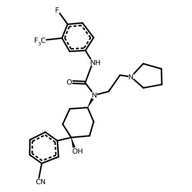 N#Cc1cccc([C@]2(O)CC[C@@H](N(CCN3CCCC3)C(=O)Nc3ccc(F)c(C(F)(F)F)c3)CC2)c1